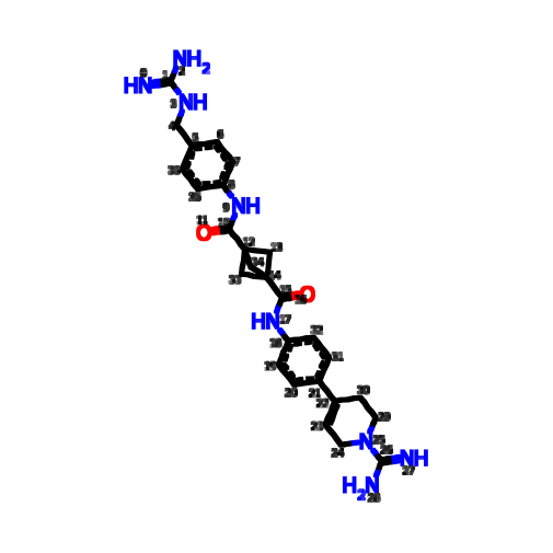 N=C(N)NCc1ccc(NC(=O)C23CC(C(=O)Nc4ccc(C5=CCN(C(=N)N)CC5)cc4)(C2)C3)cc1